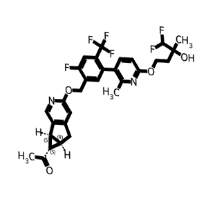 CC(=O)[C@H]1[C@@H]2Cc3cc(OCc4cc(-c5ccc(OCCC(C)(O)C(F)F)nc5C)c(C(F)(F)F)cc4F)ncc3[C@@H]21